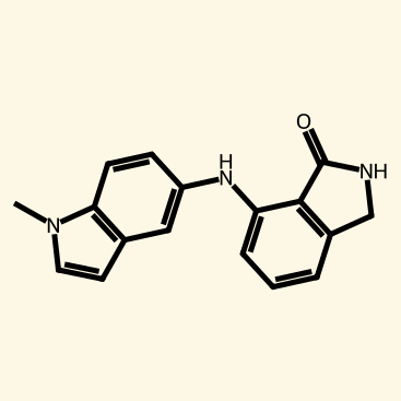 Cn1ccc2cc(Nc3cccc4c3C(=O)NC4)ccc21